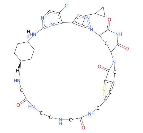 O=C1CNCCNC(=O)CN[C@H]2CC[C@@H](CC2)Nc2ncc(Cl)c(n2)-c2cnn(c2CC2CC2)C2CC(C(=O)NC2=O)N2Cc3cc(sc3C2=O)CN1